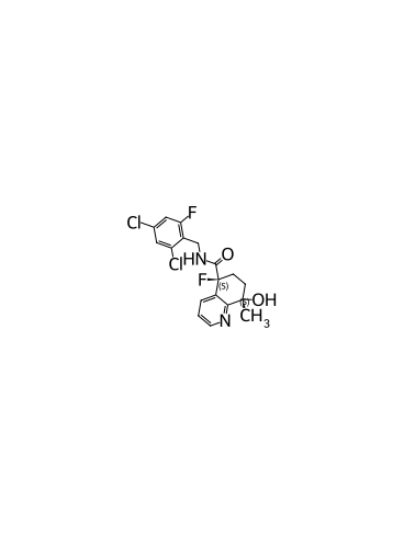 C[C@]1(O)CC[C@@](F)(C(=O)NCc2c(F)cc(Cl)cc2Cl)c2cccnc21